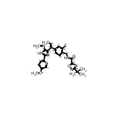 C=Nc1[nH]c(-c2ccc(OC)cn2)nc1/C(=C\C)c1ccc(CNC(=O)c2nc(C(C)(C)C)no2)c(F)c1